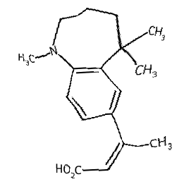 C/C(=C/C(=O)O)c1ccc2c(c1)C(C)(C)CCCN2C